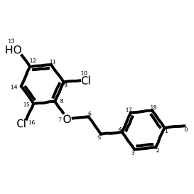 Cc1ccc(CCOc2c(Cl)cc(O)cc2Cl)cc1